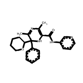 CC1=NC(C)=C(C(=O)Nc2cccnc2)NC1(c1ccccc1)C1CCCCO1